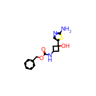 Nc1ncc(C2(O)CC(NC(=O)OCc3ccccc3)C2)s1